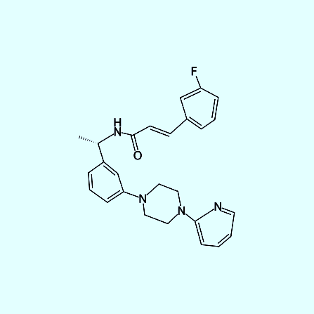 C[C@H](NC(=O)/C=C/c1cccc(F)c1)c1cccc(N2CCN(c3ccccn3)CC2)c1